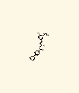 COc1cc(C=CC(=O)CC(=O)c2ccc(-c3ccccc3)cc2)ccc1O